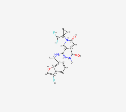 CC(Nc1nn(C)c(=O)c2cc(=O)n(C3(C(F)F)CC3)cc12)c1cccc2c(F)coc12